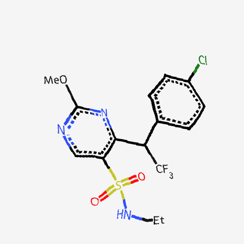 CCNS(=O)(=O)c1cnc(OC)nc1C(c1ccc(Cl)cc1)C(F)(F)F